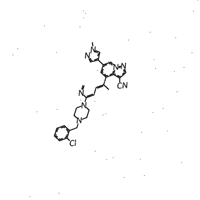 C=N/C(=C\C=C(/C)c1cc(-c2cnn(C)c2)cn2ncc(C#N)c12)N1CCN(Cc2ccccc2Cl)CC1